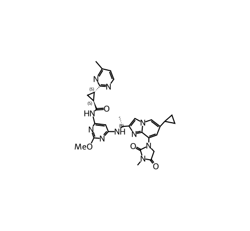 COc1nc(NC(=O)[C@H]2C[C@@H]2c2nccc(C)n2)cc(N[C@H](C)c2cn3cc(C4CC4)cc(N4CC(=O)N(C)C4=O)c3n2)n1